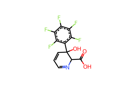 O=C(O)C1N=CC=CC1(O)c1c(F)c(F)c(F)c(F)c1F